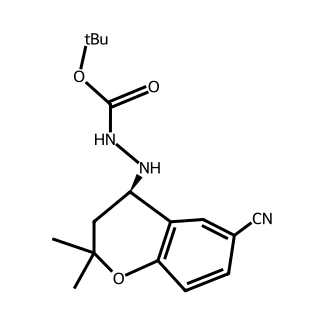 CC(C)(C)OC(=O)NN[C@@H]1CC(C)(C)Oc2ccc(C#N)cc21